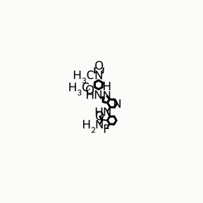 COc1cc(N2CCOC[C@@H]2C)ccc1Nc1cc2c(Nc3cccc(F)c3C(N)=O)cncc2[nH]1